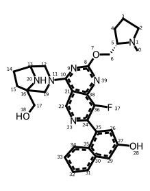 CN1CCC[C@H]1COc1nc(N2CC3CCC(CO)(C2)N3)c2cnc(-c3cc(O)cc4ccccc34)c(F)c2n1